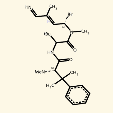 CN[C@H](C(=O)NC(C(=O)N(C)[C@H](/C=C(\C)C=N)C(C)C)C(C)(C)C)C(C)(C)c1ccccc1